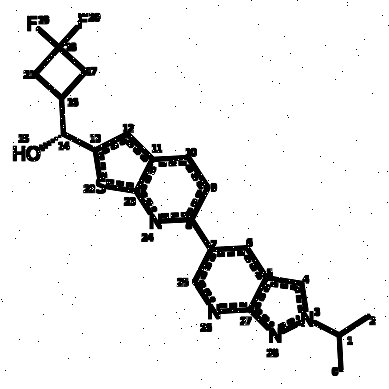 CC(C)n1cc2cc(-c3ccc4cc([C@H](O)C5CC(F)(F)C5)sc4n3)cnc2n1